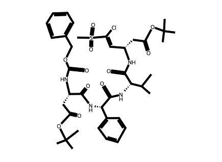 CC(C)[C@H](NC(=O)[C@@H](NC(=O)[C@H](CC(=O)OC(C)(C)C)NC(=O)OCc1ccccc1)c1ccccc1)C(=O)N[C@H](/C=C(\Cl)S(C)(=O)=O)CC(=O)OC(C)(C)C